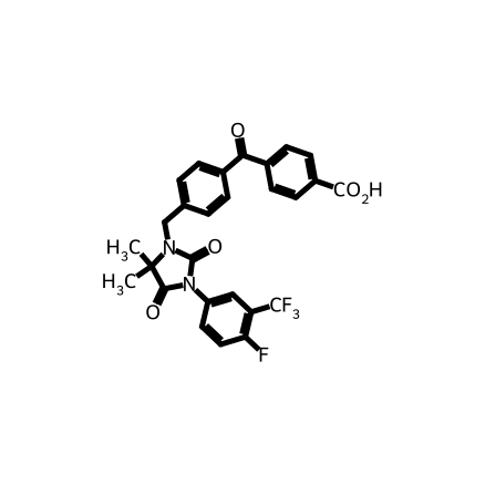 CC1(C)C(=O)N(c2ccc(F)c(C(F)(F)F)c2)C(=O)N1Cc1ccc(C(=O)c2ccc(C(=O)O)cc2)cc1